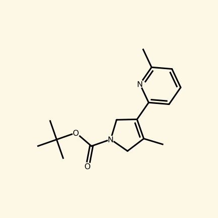 CC1=C(c2cccc(C)n2)CN(C(=O)OC(C)(C)C)C1